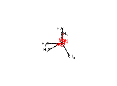 CCCCCCCCC=CCCCCCCCCC(CCCCCCCCC=CCCCCCCCC)(C(=O)O)C(CCCCCCCCC=CCCCCCCCC)(C(=O)O)C(CCCCCCCCC=CCCCCCCCC)(C(=O)O)C(COC(=O)CCCCCCC)C(=O)O